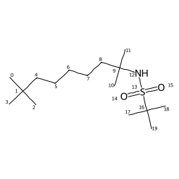 CC(C)(C)CCCCCC(C)(C)NS(=O)(=O)C(C)(C)C